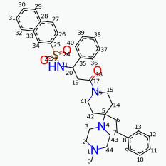 CN1CCN(C2(CCc3ccccc3)CCN(C(=O)CC(NS(=O)(=O)c3ccc4ccccc4c3)c3ccccc3)CC2)CC1